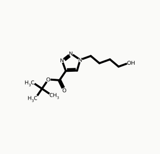 CC(C)(C)OC(=O)c1cn(CCCCO)nn1